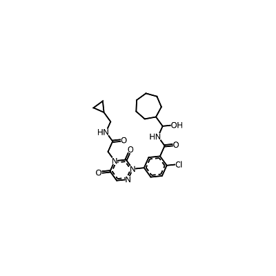 O=C(Cn1c(=O)cnn(-c2ccc(Cl)c(C(=O)NC(O)C3CCCCCC3)c2)c1=O)NCC1CC1